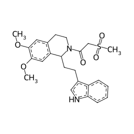 COc1cc2c(cc1OC)C(CCc1c[nH]c3ccccc13)N(C(=O)CS(C)(=O)=O)CC2